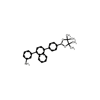 CC1(C)OB(c2ccc(-c3ccc(-c4cccc(N)c4)c4ccccc34)cc2)OC1(C)C